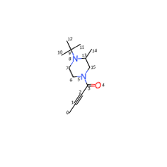 CC#CC(=O)N1CCN(C(C)(C)C)C(C)C1